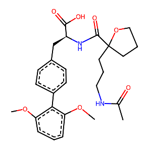 COc1cccc(OC)c1-c1ccc(C[C@H](NC(=O)C2(CCCNC(C)=O)CCCO2)C(=O)O)cc1